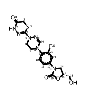 O=C1CSC(N2CCN(c3ccc(N4C[C@H](CO)OC4=O)cc3F)C=N2)=NN1